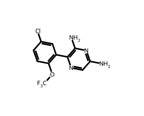 Nc1cnc(-c2cc(Cl)ccc2OC(F)(F)F)c(N)n1